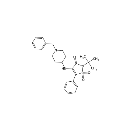 CC(C)(C)N1C(=O)C(NC2CCN(Cc3ccccc3)CC2)=C(c2ccccc2)S1(=O)=O